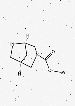 CC(C)OC(=O)N1C[C@H]2CN[C@H](C2)C1